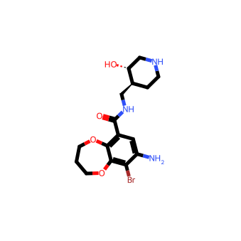 Nc1cc(C(=O)NC[C@@H]2CCNC[C@H]2O)c2c(c1Br)OCCCO2